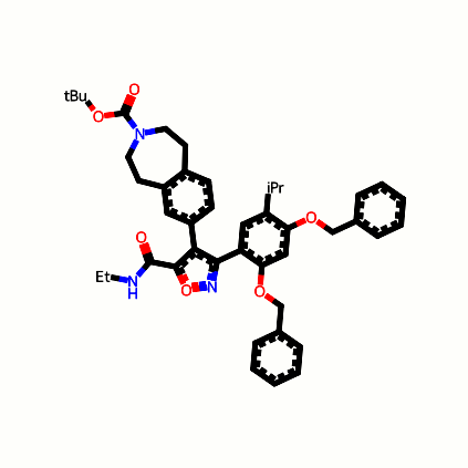 CCNC(=O)c1onc(-c2cc(C(C)C)c(OCc3ccccc3)cc2OCc2ccccc2)c1-c1ccc2c(c1)CCN(C(=O)OC(C)(C)C)CC2